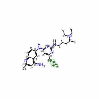 CCN(CC)C(C)CCCNc1nc(C)cc(Nc2ccc3nc(C)cc(N)c3c2)n1.Cl.Cl.Cl